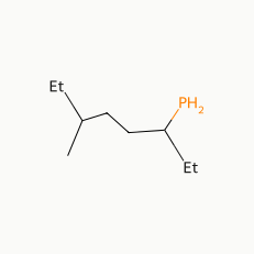 CCC(C)CCC(P)CC